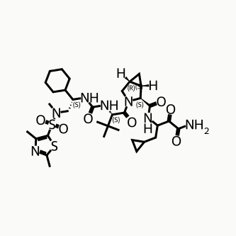 Cc1nc(C)c(S(=O)(=O)N(C)C[C@@H](NC(=O)N[C@H](C(=O)N2C[C@@H]3C[C@@H]3[C@H]2C(=O)NC(CC2CC2)C(=O)C(N)=O)C(C)(C)C)C2CCCCC2)s1